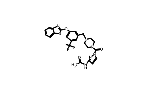 CC(=O)Nc1ccn(C(=O)N2CCN(Cc3cc(Oc4nc5ccccc5s4)cc(C(F)(F)F)c3)CC2)n1